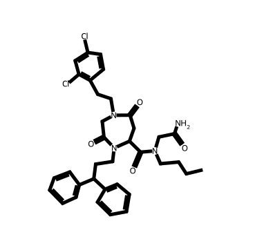 CCCCN(CC(N)=O)C(=O)C1CC(=O)N(CCc2ccc(Cl)cc2Cl)CC(=O)N1CCC(c1ccccc1)c1ccccc1